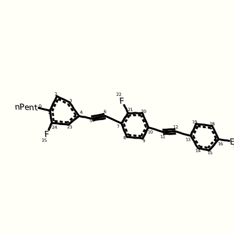 CCCCCc1ccc(C#Cc2ccc(C#Cc3ccc(CC)cc3)cc2F)cc1F